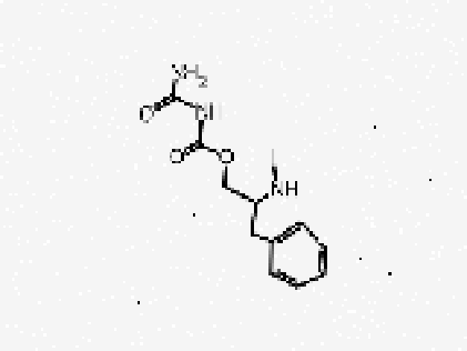 NC(=O)NC(=O)OCC(Cc1ccccc1)NI